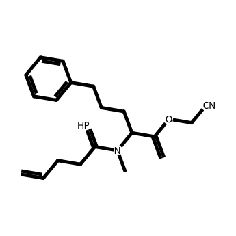 C=CCCC(=P)N(C)C(CCCc1ccccc1)C(=C)OCC#N